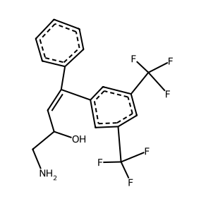 NCC(O)C=C(c1ccccc1)c1cc(C(F)(F)F)cc(C(F)(F)F)c1